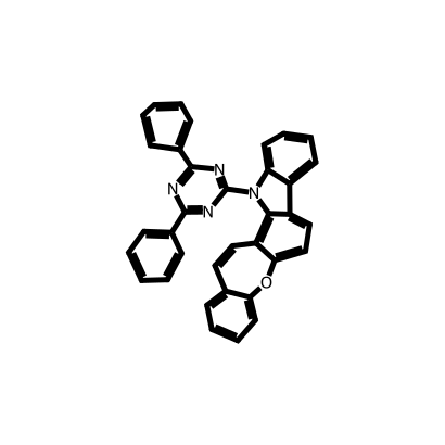 C1=Cc2c(ccc3c4ccccc4n(-c4nc(-c5ccccc5)nc(-c5ccccc5)n4)c23)Oc2ccccc21